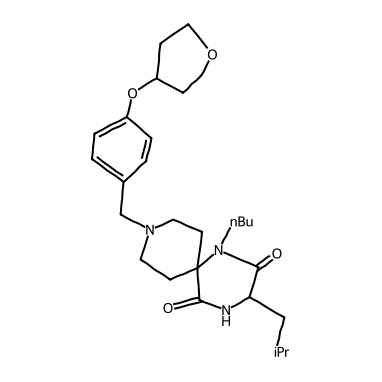 CCCCN1C(=O)C(CC(C)C)NC(=O)C12CCN(Cc1ccc(OC3CCOCC3)cc1)CC2